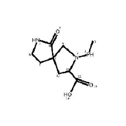 CPN1CC2(CCNC2=O)CC1C(=O)O